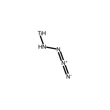 [N-]=[N+]=N[NH][TiH]